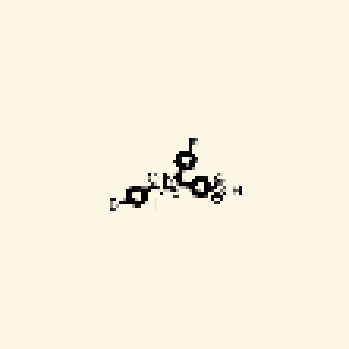 CS(=O)(=O)c1ccc(-c2sc(NC(=O)c3ccc(Br)cc3)nc2-c2ccc(F)cc2)cc1